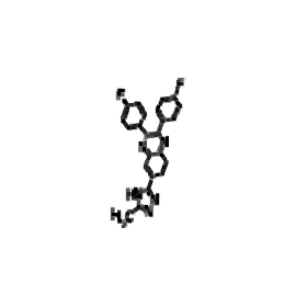 Cc1nnc(-c2ccc3nc(-c4ccc(F)cc4)c(-c4ccc(F)cc4)nc3c2)[nH]1